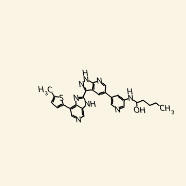 CCCCC(O)Nc1cncc(-c2cnc3[nH]nc(-c4nc5c(-c6ccc(C)s6)cncc5[nH]4)c3c2)c1